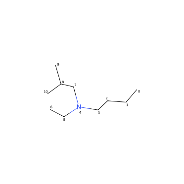 CCCCN(CC)CC(C)C